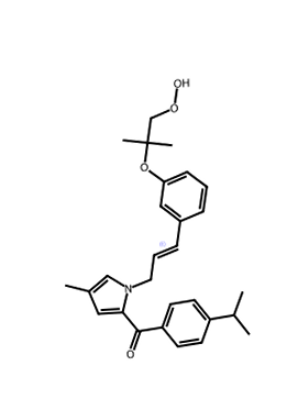 Cc1cc(C(=O)c2ccc(C(C)C)cc2)n(C/C=C/c2cccc(OC(C)(C)COO)c2)c1